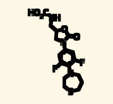 O=C(O)NCC1CN(c2cc(F)c(N3CCCSCC3)c(F)c2)C(=O)O1